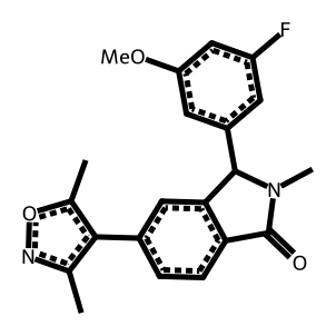 COc1cc(F)cc(C2c3cc(-c4c(C)noc4C)ccc3C(=O)N2C)c1